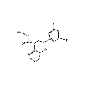 CC(C)(C)OC(=O)N(CCc1cc(F)cc(F)c1)c1ncccc1Br